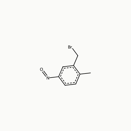 Cc1ccc(N=O)cc1CBr